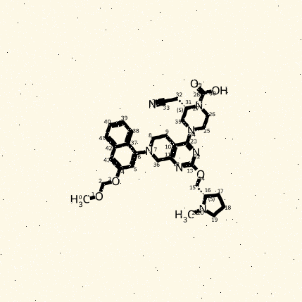 COCOc1cc(N2CCc3c(nc(OC[C@@H]4CCCN4C)nc3N3CCN(C(=O)O)[C@@H](CC#N)C3)C2)c2ccccc2c1